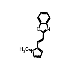 Cn1cccc1/C=C/c1nc2ccccc2o1